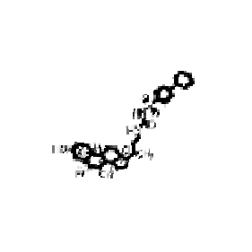 CC[C@H]1[C@@H](O)[C@@H]2[C@H](CC[C@]3(C)[C@@H]([C@H](C)CCNC(=O)NS(=O)(=O)c4ccc(C5CCCCC5)cc4)CC[C@@H]23)[C@@]2(C)CC[C@@H](O)C[C@@H]12